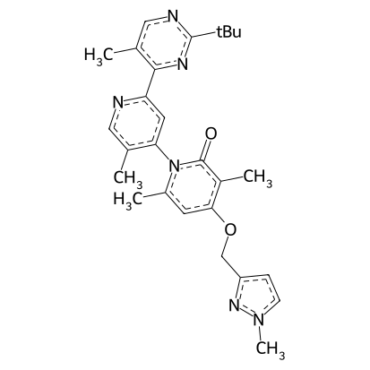 Cc1cnc(-c2nc(C(C)(C)C)ncc2C)cc1-n1c(C)cc(OCc2ccn(C)n2)c(C)c1=O